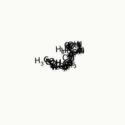 CCOC(=O)CC1(O)CCN(CCCOc2cccc(-c3cccc(COc4cc(OCc5cncc(C#N)c5)c(CNC(C)(CO)C(=O)O)cc4Cl)c3C)c2C)C1